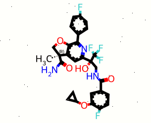 C[C@]1(C(N)=O)COc2c1cc(C(O)(CNC(=O)c1ccc(F)c(OC3CC3)c1)C(F)(F)F)nc2-c1ccc(F)cc1